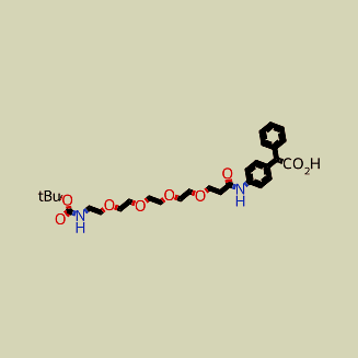 CC(C)(C)OC(=O)NCCOCCOCCOCCOCCC(=O)Nc1ccc(C(C(=O)O)c2ccccc2)cc1